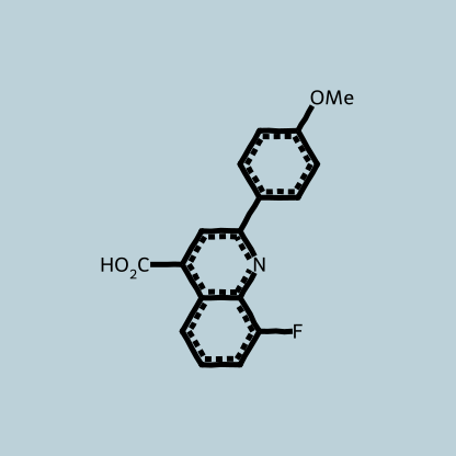 COc1ccc(-c2cc(C(=O)O)c3cccc(F)c3n2)cc1